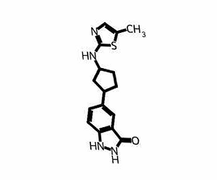 Cc1cnc(NC2CCC(c3ccc4[nH][nH]c(=O)c4c3)C2)s1